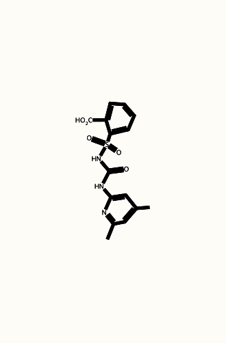 Cc1cc(C)nc(NC(=O)NS(=O)(=O)c2ccccc2C(=O)O)c1